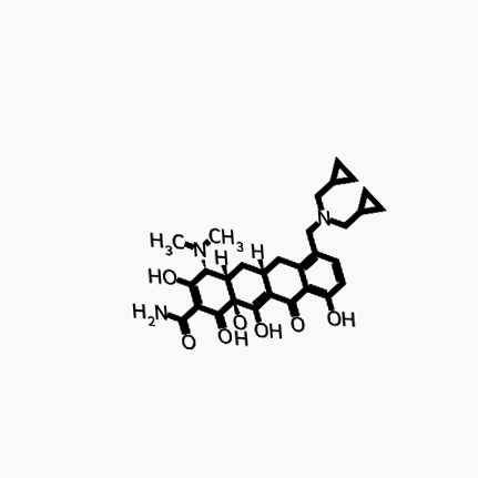 CN(C)[C@H]1C(O)=C(C(N)=O)C(=O)[C@@]2(O)C(O)=C3C(=O)c4c(O)ccc(CN(CC5CC5)CC5CC5)c4C[C@H]3C[C@@H]12